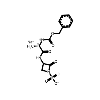 C[C@@H](NC(=O)OCc1ccccc1)C(=O)NC1CN(S(=O)(=O)[O-])C1=O.[Na+]